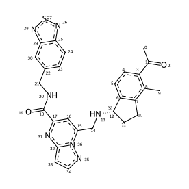 CC(=O)c1ccc2c(c1C)CC[C@@H]2NCc1cc(C(=O)NCc2ccc3nsnc3c2)nc2ccnn12